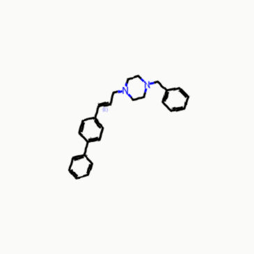 C(=C\c1ccc(-c2ccccc2)cc1)/CN1CCN(Cc2ccccc2)CC1